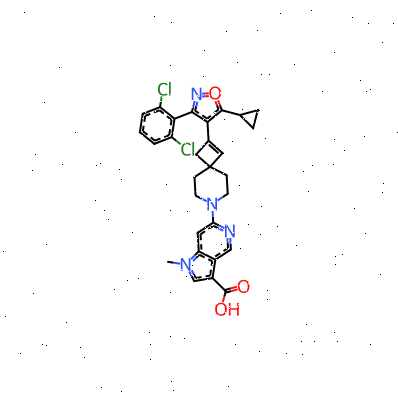 Cn1cc(C(=O)O)c2cnc(N3CCC4(C=C(c5c(-c6c(Cl)cccc6Cl)noc5C5CC5)C4)CC3)cc21